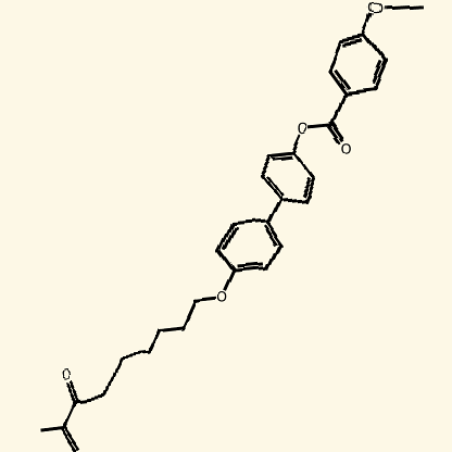 C=C(C)C(=O)CCCCCCOc1ccc(-c2ccc(OC(=O)c3ccc(OC)cc3)cc2)cc1